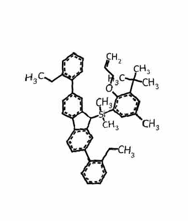 C=CCOc1c(C(C)(C)C)cc(C)cc1[Si](C)(C)C1c2cc(-c3ccccc3CC)ccc2-c2ccc(-c3ccccc3CC)cc21